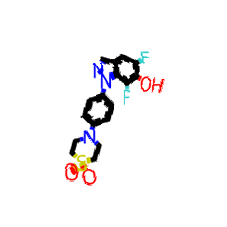 O=S1(=O)CCN(c2ccc(-n3ncc4cc(F)c(O)c(F)c43)cc2)CC1